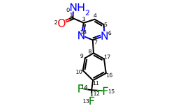 NC(=O)c1ccnc(-c2ccc(C(F)(F)F)cc2)n1